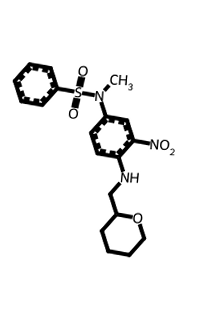 CN(c1ccc(NCC2CCCCO2)c([N+](=O)[O-])c1)S(=O)(=O)c1ccccc1